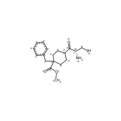 COC(=O)C1(Cc2ccccc2)CCN(C(=O)[C@@H](N)CS)CC1